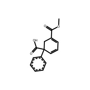 COC(=O)C1=CC=CC(C(=O)O)(c2ccccc2)C1